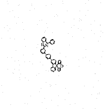 c1ccc(-c2nc(-c3cccc(-c4ccc(-c5ccc6c(c5)-c5ccccc5C65c6ccccc6Oc6ccccc65)cc4)c3)nc3ccccc23)cc1